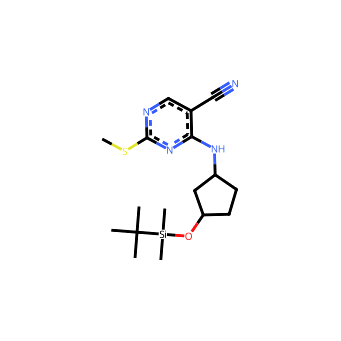 CSc1ncc(C#N)c(NC2CCC(O[Si](C)(C)C(C)(C)C)C2)n1